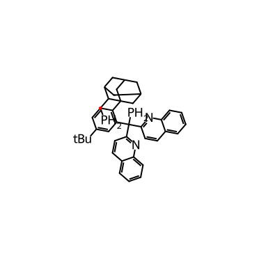 CC(C)(C)c1ccc(C23CC4CC(CC(C4)C2CP)C3)c(C(P)(c2ccc3ccccc3n2)c2ccc3ccccc3n2)c1